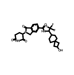 O=C1CCC(N2Cc3cc(C(=O)NC(C4CCC5(CC4)CC(O)C5)C(F)(F)F)ccc3C2=O)C(=O)N1